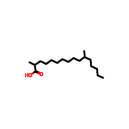 CCCCCC(C)CCCCCCCCC(C)C(=O)O